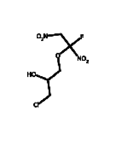 O=[N+]([O-])CC(F)(OCC(O)CCl)[N+](=O)[O-]